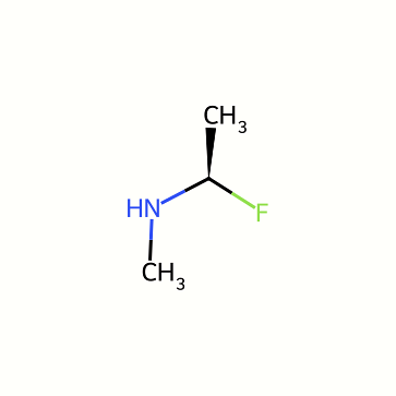 CN[C@@H](C)F